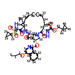 CCCOc1cnc(O[C@@H]2C[C@H]3C(=O)N[C@]4(C(=O)NS(=O)(=O)C5(C)CC5)C[C@H]4/C=C\CC[C@H](C)C[C@@H](C)[C@H](NC(=O)OCC4(C)CC4)C(=O)N3C2)c2ccccc12